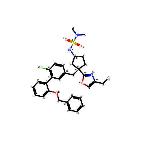 CN(C)S(=O)(=O)N[C@H]1CC[C@](Cc2ccc(F)c(-c3ccccc3OCc3ccccc3)c2)(c2nc(CCl)co2)C1